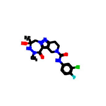 CN1NC(O)(C(F)(F)F)Cn2nc3c(c2C1=O)CN(C(=O)Nc1ccc(F)c(Cl)c1)CC3